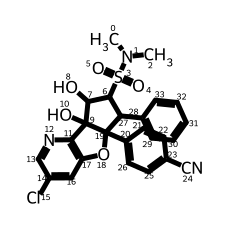 CN(C)S(=O)(=O)C1C(O)C2(O)c3ncc(Cl)cc3OC2(c2ccc(C#N)cc2)C1c1ccccc1